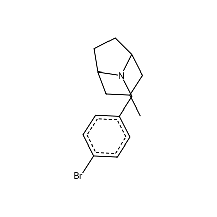 CC1CC2CCC(C1)N2Cc1ccc(Br)cc1